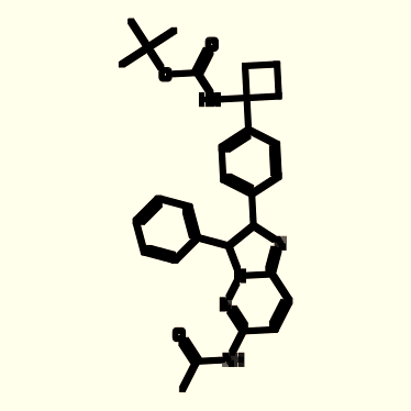 CC(=O)NC1=NN2C(=NC(c3ccc(C4(NC(=O)OC(C)(C)C)CCC4)cc3)C2c2ccccc2)C=C1